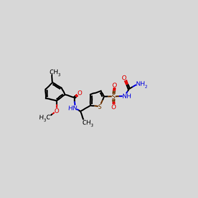 COc1ccc(C)cc1C(=O)NC(C)c1ccc(S(=O)(=O)NC(N)=O)s1